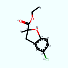 CCOC(=O)C1(C)Cc2cc(Cl)ccc2O1